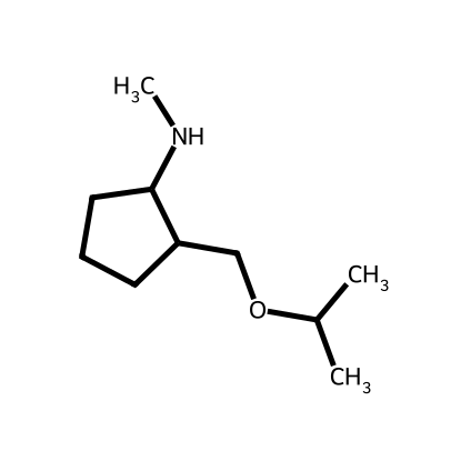 CNC1CCCC1COC(C)C